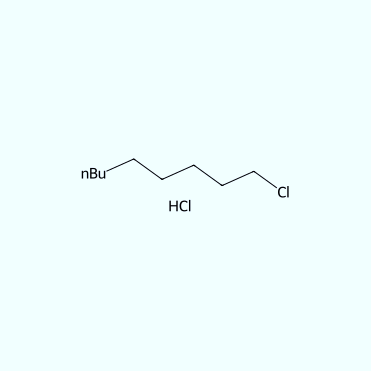 CCCCCCCCCCl.Cl